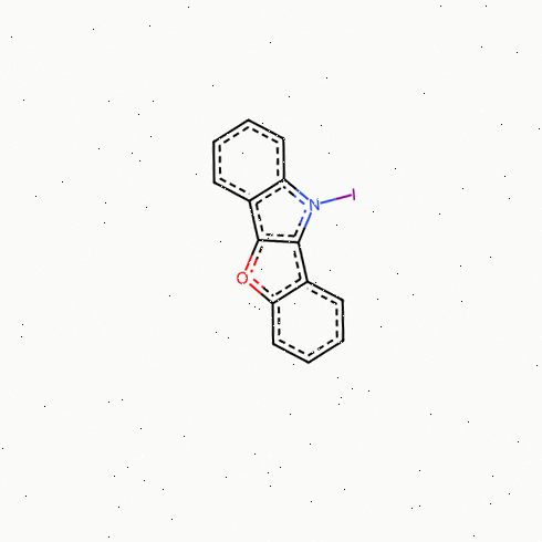 In1c2ccccc2c2oc3ccccc3c21